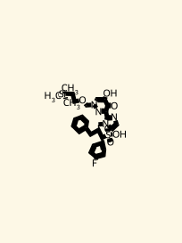 C[Si](C)(C)CCOCn1cc(O)c(=O)c(-c2nccn2C[C@@H](Cc2ccccc2)[C@H](c2ccc(F)cc2)S(=O)(=O)O)n1